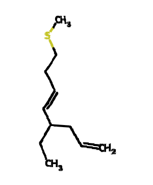 C=CCC(/C=C/CCSC)CC